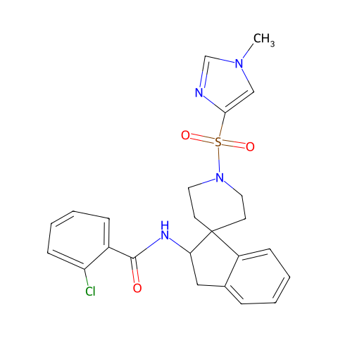 Cn1cnc(S(=O)(=O)N2CCC3(CC2)c2ccccc2CC3NC(=O)c2ccccc2Cl)c1